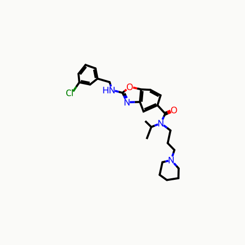 CC(C)N(CCCN1CCCCC1)C(=O)c1ccc2oc(NCc3cccc(Cl)c3)nc2c1